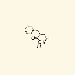 CC(=S)CC(Cc1ccccc1)C(=O)O